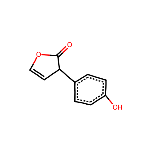 O=C1OC=CC1c1ccc(O)cc1